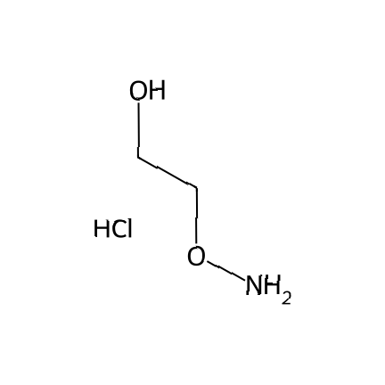 Cl.NOCCO